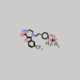 CC1(C)OC[C@]2(CC[C@H](CCN3CCNC(=O)c4oc5ccc(C(F)(F)F)cc5c43)CC2)O1